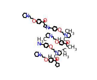 CC1CCCC(C)N1CCCOc1ccc(C#N)cc1.CCC(=O)c1ccc(OCCCN2CCCC(C)C2)cc1.CC[C@@H]1CC[C@H](C)N(CCCOc2ccc(C#N)cc2)C1.O=C(c1ccc(OCCCN2CCCCC2)cc1)C1CCC1.O=C(c1ccc(OCCCN2CCCCC2)cc1)C1CCCC1